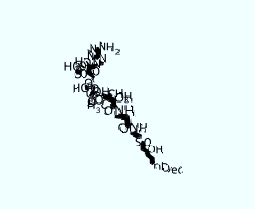 CCCCCCCCCCCCC[C@@H](O)CC(=O)SCCNC(=O)CCNC(=O)[C@H](O)C(C)(C)COP(=O)(O)OP(=O)(O)OC[C@H]1O[C@@H](n2cnc3c(N)ncnc32)[C@H](O)[C@@H]1OP(=O)(O)O